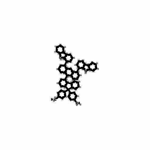 Cc1ccc(C2(c3ccc(C)cc3)c3ccccc3-c3c(-c4c5cccc(-c6cccc7c6oc6ccccc67)c5cc5c(-c6cccc7c6oc6ccccc67)cccc45)cccc32)cc1